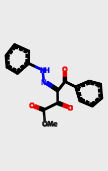 COC(=O)C(=O)/C(=N/Nc1ccccc1)C(=O)c1ccccc1